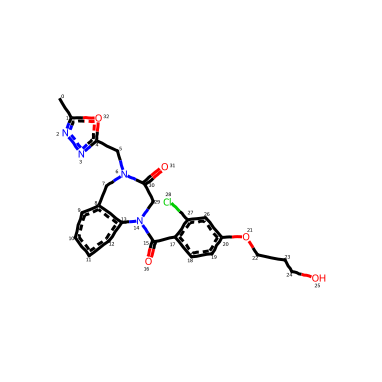 Cc1nnc(CN2Cc3ccccc3N(C(=O)c3ccc(OCCCO)cc3Cl)CC2=O)o1